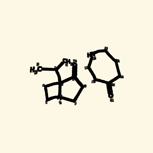 CC(C)C12CCN1CCC2=O.O=C1CCCNCC1